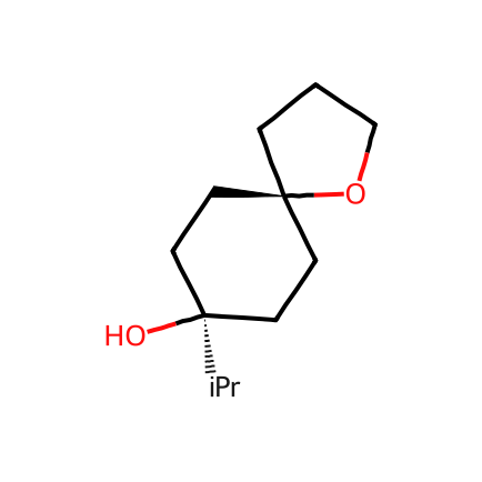 CC(C)[C@]1(O)CC[C@]2(CCCO2)CC1